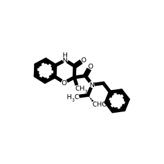 C[C@@H]([C]=O)N(Cc1ccccc1)C(=O)C1(C)Oc2ccccc2NC1=O